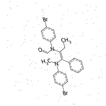 CC/C(=C(\c1ccccc1)N(C)c1ccc(Br)cc1)N(C=O)c1ccc(Br)cc1